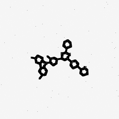 Cc1ccc2c(c1)c1cc(C)ccc1n2-c1ccc(-c2cc(-c3ccc(-c4ccccn4)cc3)nc(-c3ccccc3)n2)cc1C